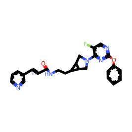 O=C(/C=C/c1cccnc1)NCCC1C2CN(c3nc(Oc4ccccc4)ncc3F)CC12